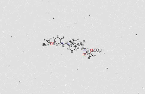 C=C1CC[C@H](O[Si](C)(C)C(C)(C)C)C/C1=C/C=C1\CCC[C@]2(C)[C@@H]([C@H](C)/C=C/C(=O)C3(OC(=O)O)CC3)CC[C@@H]12